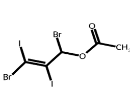 CC(=O)OC(Br)C(I)=C(Br)I